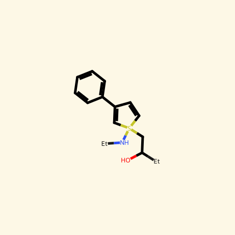 CCNS1(CC(O)CC)C=CC(c2ccccc2)=C1